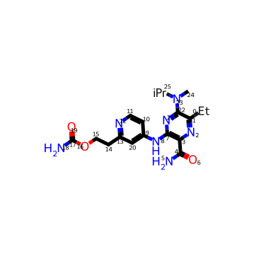 CCc1nc(C(N)=O)c(Nc2ccnc(CCOC(N)=O)c2)nc1N(C)C(C)C